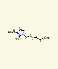 CCCCCCCCCCCCCCCN1C=CN(CCCCCCCC)C1CCC